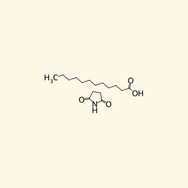 CCCCCCCCCCCC(=O)O.O=C1CCC(=O)N1